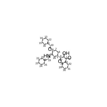 O=c1c(O)c(-c2ccc(OCc3ccccc3)c(NCc3ccccc3)c2)oc2ccccc12